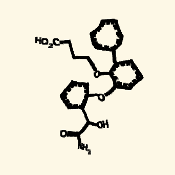 NC(=O)C(O)c1ccccc1Oc1cccc(-c2ccccc2)c1OCCCC(=O)O